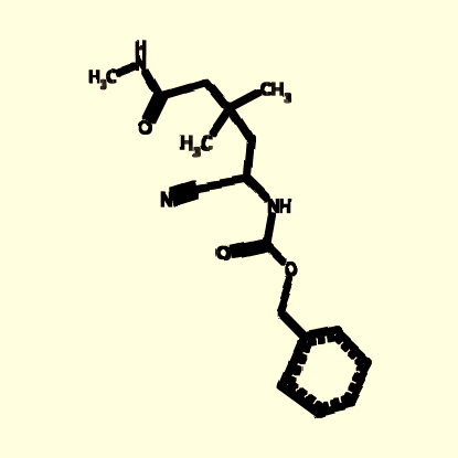 CNC(=O)CC(C)(C)CC(C#N)NC(=O)OCc1ccccc1